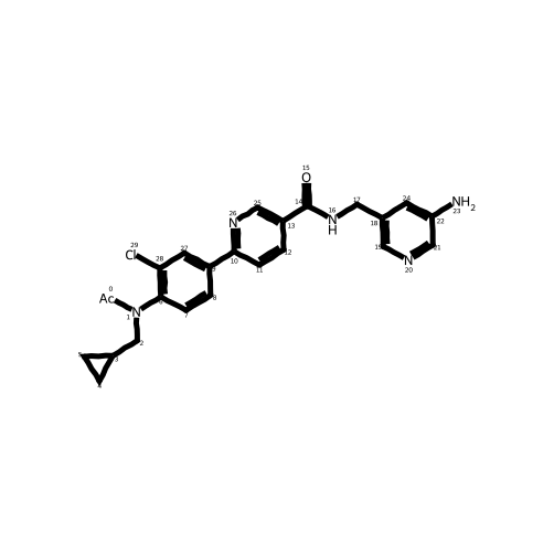 CC(=O)N(CC1CC1)c1ccc(-c2ccc(C(=O)NCc3cncc(N)c3)cn2)cc1Cl